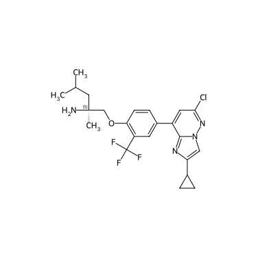 CC(C)C[C@](C)(N)COc1ccc(-c2cc(Cl)nn3cc(C4CC4)nc23)cc1C(F)(F)F